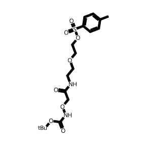 Cc1ccc(S(=O)(=O)OCCOCCNC(=O)CONC(=O)OC(C)(C)C)cc1